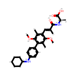 COc1c(C)c(-c2ccc(NC3CCCCC3)cc2)c(OC)c(C)c1/C=C(\C)C(=O)N[C@H](C)C(=O)O